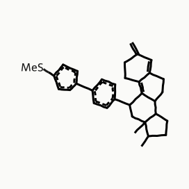 C=C1C=C2CCC3C(=C2CC1)C(c1ccc(-c2ccc(SC)cc2)cc1)CC1(C)C(C)CCC31